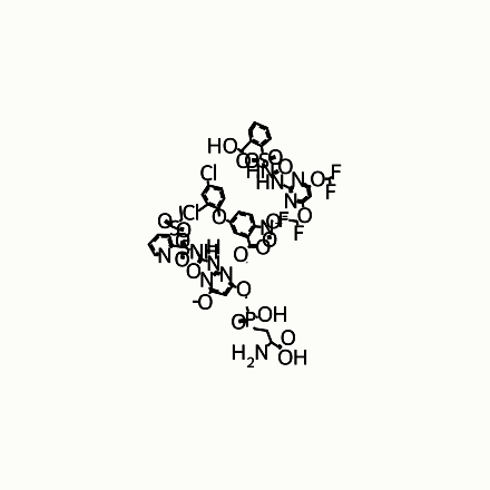 CCS(=O)(=O)c1cccnc1S(=O)(=O)NC(=O)Nc1nc(OC)cc(OC)n1.COC(=O)c1cc(Oc2ccc(Cl)cc2Cl)ccc1[N+](=O)[O-].CP(=O)(O)CCC(N)C(=O)O.O=C(Nc1nc(OC(F)F)cc(OC(F)F)n1)NS(=O)(=O)c1ccccc1C(=O)O